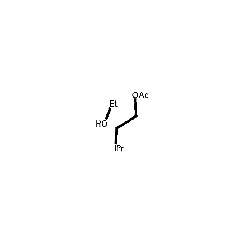 CC(=O)OCCC(C)C.CCO